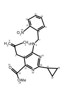 C=C(C)Cc1c(NCc2ccccc2[N+](=O)[O-])nc(C2CC2)nc1C(=O)OC